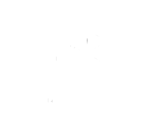 CC(CCCCCBr)C1CC(=O)c2ccccc2C1=O